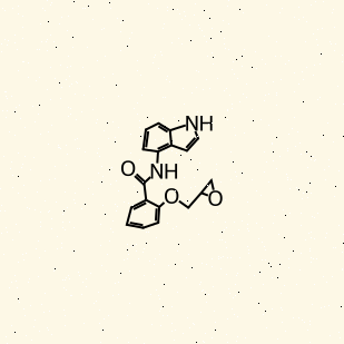 O=C(Nc1cccc2[nH]ccc12)c1ccccc1OCC1CO1